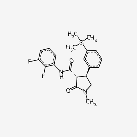 CN1C[C@H](c2cccc([Si](C)(C)C)c2)[C@@H](C(=O)Nc2cccc(F)c2F)C1=O